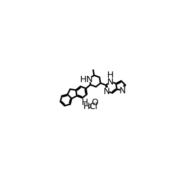 CC1CC(c2ncc3nccc-3[nH]2)CC(c2ccc3c(c2)Cc2ccccc2-3)N1.Cl.O